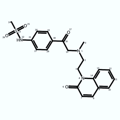 CN(CCn1c(=O)ccc2ccccc21)CC(=O)c1ccc(NS(C)(=O)=O)cc1